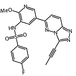 CC#Cc1nnc2ccc(-c3cnc(OC)c(NS(=O)(=O)c4ccc(F)cc4)c3)nn12